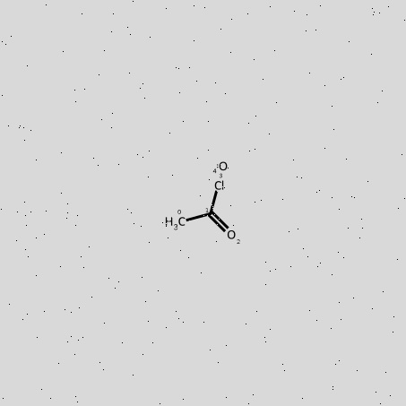 CC(=O)Cl.[O]